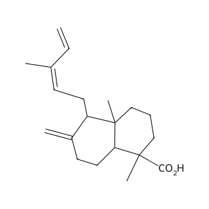 C=CC(C)=CCC1C(=C)CCC2C(C)(C(=O)O)CCCC12C